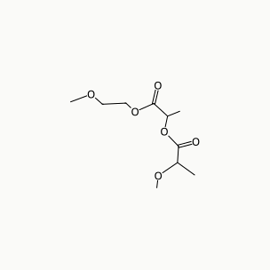 COCCOC(=O)C(C)OC(=O)C(C)OC